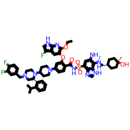 CCOc1nc2[nH]cc(F)c2cc1Oc1cc(N2CCC(N3CCN(Cc4ccc(F)c(F)c4)C[C@H]3c3ccccc3C(C)C)CC2)ccc1C(=O)NS(=O)(=O)c1cc(N)c(NC[C@H]2CC[C@](C)(O)CC2)c2[nH]cnc12